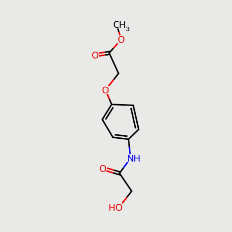 COC(=O)COc1ccc(NC(=O)CO)cc1